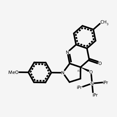 COc1ccc(N2CC[C@@]3(O[Si](C(C)C)(C(C)C)C(C)C)C(=O)c4cc(C)ccc4N=C23)cc1